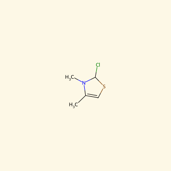 CC1=CSC(Cl)N1C